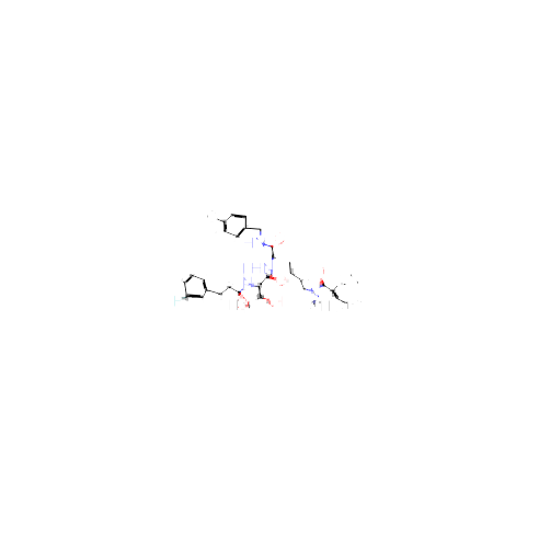 Cc1ccc(CNC(=O)[C@H](CCCCN(C)C(=O)C(C#N)=CC(C)C)NC(=O)[C@@H](NC(=O)CCc2cccc(F)c2)[C@@H](C)O)cc1